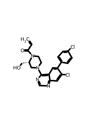 C=CC(=O)N1CCN(c2ncnc3cc(Cl)c(-c4ccc(Cl)cc4)cc23)C[C@@H]1CO